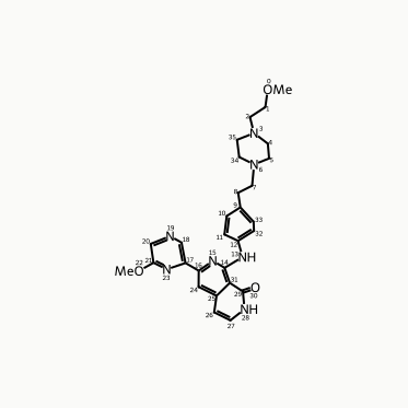 COCCN1CCN(CCc2ccc(Nc3nc(-c4cncc(OC)n4)cc4cc[nH]c(=O)c34)cc2)CC1